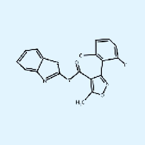 Cc1onc(-c2c(Cl)cccc2Cl)c1C(=O)Sc1nc2ccccc2s1